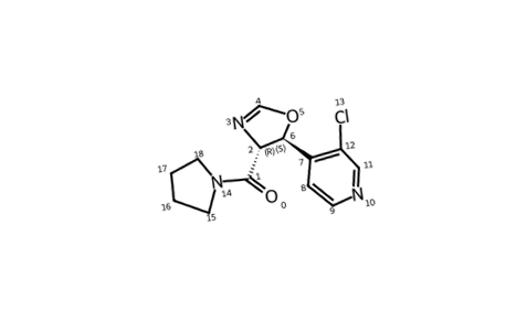 O=C([C@@H]1N=CO[C@H]1c1ccncc1Cl)N1CCCC1